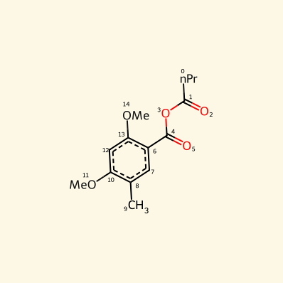 CCCC(=O)OC(=O)c1cc(C)c(OC)cc1OC